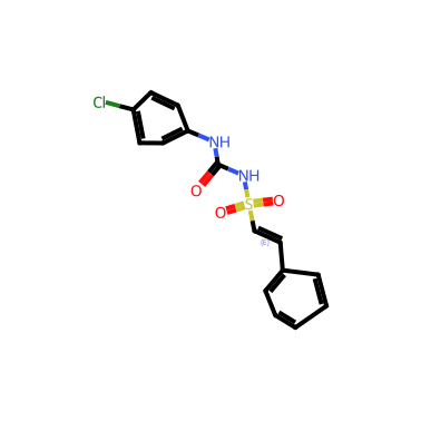 O=C(Nc1ccc(Cl)cc1)NS(=O)(=O)/C=C/c1ccccc1